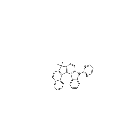 CC1(C)c2ccc3ccccc3c2-c2c1ccc1c2c2ccccc2n1-c1ncccn1